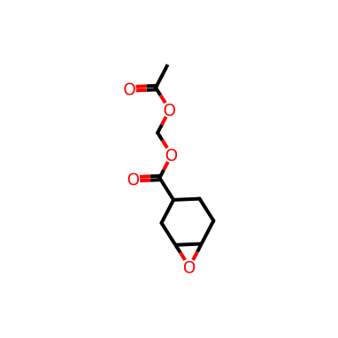 CC(=O)OCOC(=O)C1CCC2OC2C1